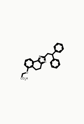 O=C(O)COc1cccc2c1CCc1sc(CC(c3ccccc3)c3ccccc3)nc1-2